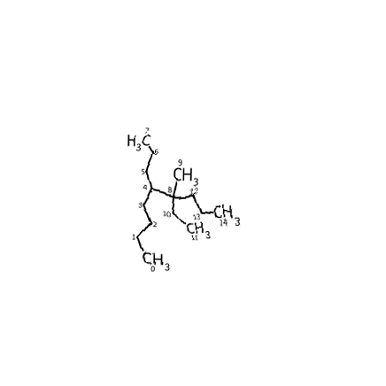 CCCC[C](CCC)C(C)(CC)CCC